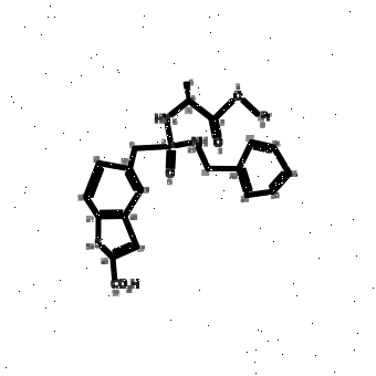 CC(C)OC(=O)[C@H](C)NP(=O)(Cc1ccc2sc(C(=O)O)cc2c1)NCc1ccccc1